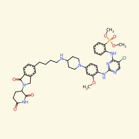 COc1cc(N2CCC(NCCCCc3ccc4c(c3)CN(C3CCC(=O)NC3=O)C4=O)CC2)ccc1Nc1ncc(Cl)c(Nc2ccccc2P(=O)(OC)OC)n1